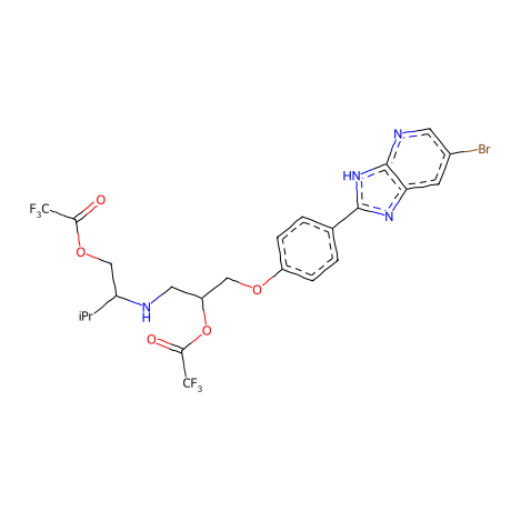 CC(C)C(COC(=O)C(F)(F)F)NCC(COc1ccc(-c2nc3cc(Br)cnc3[nH]2)cc1)OC(=O)C(F)(F)F